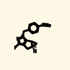 COc1ccc(Cn2nc(I)c3c2C2C[C@H]2C3)cc1